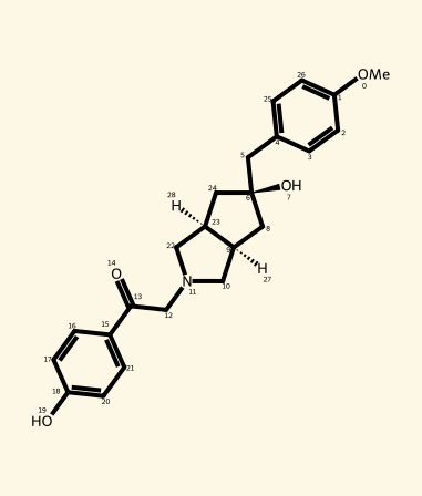 COc1ccc(C[C@]2(O)C[C@H]3CN(CC(=O)c4ccc(O)cc4)C[C@H]3C2)cc1